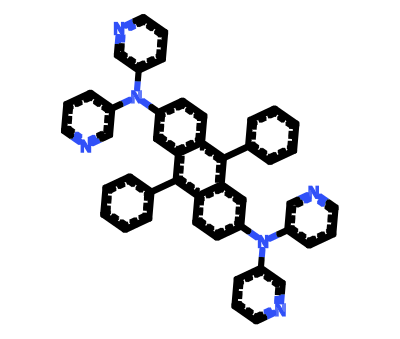 c1ccc(-c2c3ccc(N(c4cccnc4)c4cccnc4)cc3c(-c3ccccc3)c3ccc(N(c4cccnc4)c4cccnc4)cc23)cc1